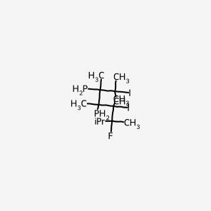 CC(C)C(C)(F)C(C)(I)C(C)(P)C(C)(P)C(C)(C)I